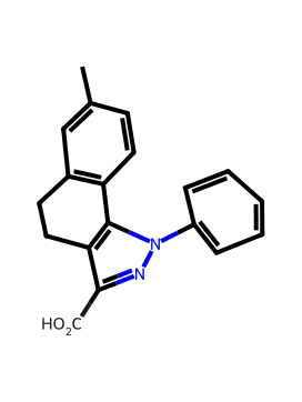 Cc1ccc2c(c1)CCc1c(C(=O)O)nn(-c3ccccc3)c1-2